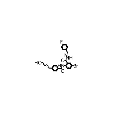 O=C(Nc1ccc(Br)cc1C(=O)N/N=C/c1ccc(F)cc1)c1ccc(CSCCO)cc1